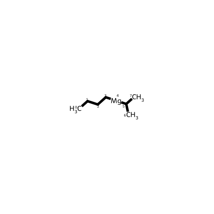 CCC[CH2][Mg][CH](C)C